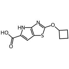 O=C(O)c1cc2sc(OC3CCC3)nc2[nH]1